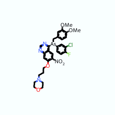 COc1ccc(C[As](c2ccc(F)c(Cl)c2)c2ncnc3cc(OCCCN4CCOCC4)c([N+](=O)[O-])cc23)cc1OC